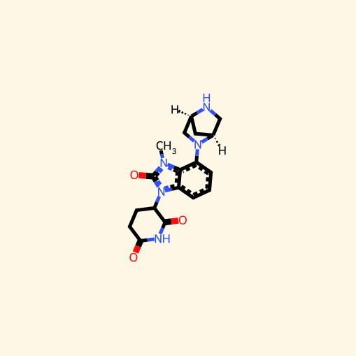 Cn1c(=O)n(C2CCC(=O)NC2=O)c2cccc(N3C[C@@H]4C[C@H]3CN4)c21